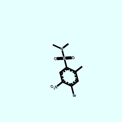 Cc1cc(Br)c([N+](=O)[O-])cc1S(=O)(=O)N(C)C